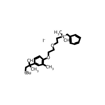 Cc1cc(C(C)(C)CC(C)(C)C)ccc1OCCOCC[N+](C)(C)Cc1ccccc1.[I-]